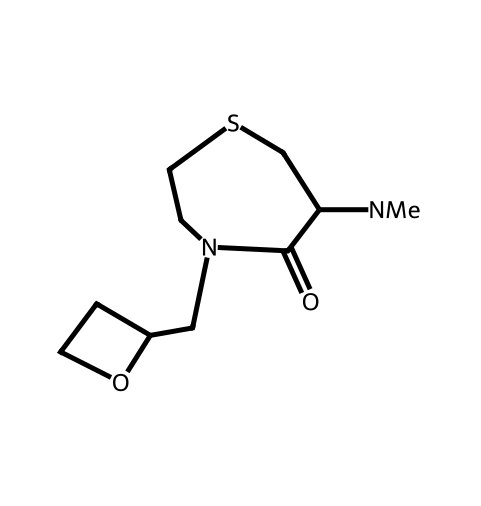 CNC1CSCCN(CC2CCO2)C1=O